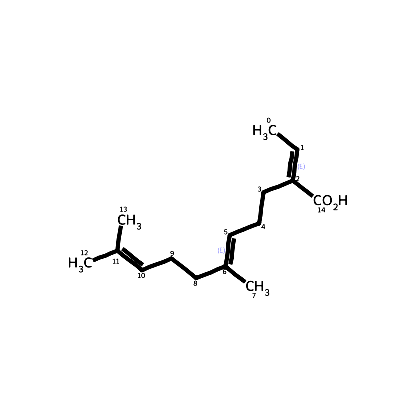 C/C=C(\CC/C=C(\C)CCC=C(C)C)C(=O)O